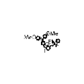 CC[N+]1=C(/C=C/C2=C3Oc4cc(N(c5ccc(OC)cc5)c5ccc(OC)cc5)ccc4C=C3CCC2)C(C)(C)c2ccccc21.[I-]